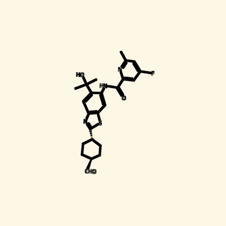 Cc1cc(F)cc(C(=O)Nc2cc3sc([C@H]4CC[C@H](C=O)CC4)nc3cc2C(C)(C)O)n1